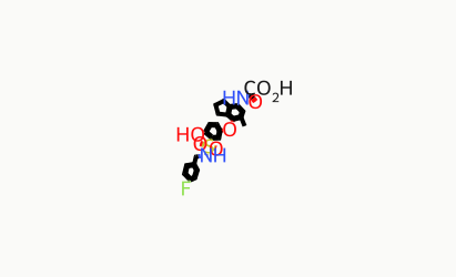 Cc1cc(NC(=O)C(=O)O)c2c(c1Oc1ccc(O)c(S(=O)(=O)NCc3ccc(F)cc3)c1)CCC2